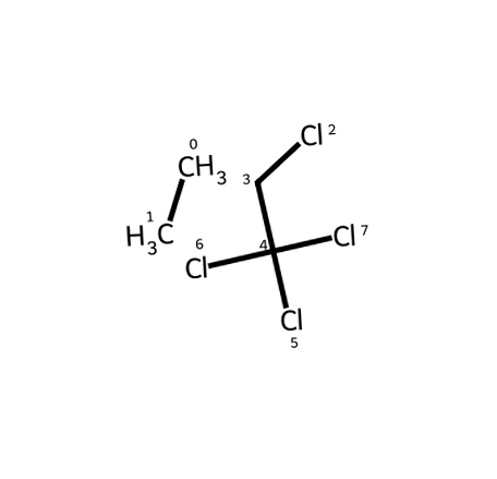 CC.ClCC(Cl)(Cl)Cl